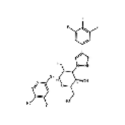 N#Cc1nnc(S[C@H]2OC(CO)[C@H](O)C(N3C=C(c4cc(F)c(F)c(F)c4)NN3)C2O)cc1Cl